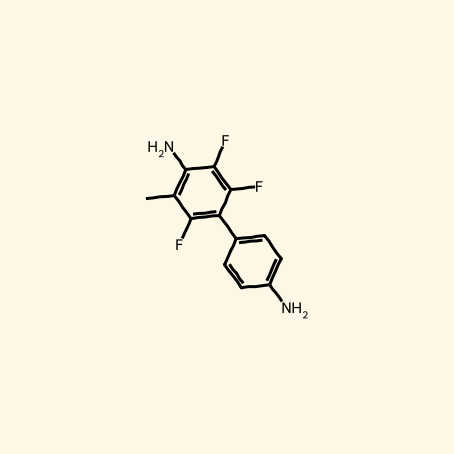 Cc1c(N)c(F)c(F)c(-c2ccc(N)cc2)c1F